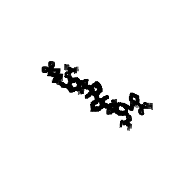 Cc1c(-c2nc3cc(CN4CC5(C4)CS(=O)(=O)C5)c(OC(F)F)cc3o2)cccc1-c1cccc(-c2nc3cc(CN4CCC[C@H]4C(=O)O)c(OC(F)F)cc3o2)c1C